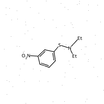 CCN(CC)Sc1cccc([N+](=O)[O-])c1